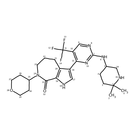 CC1(C)CCC(Nc2ncc(C(F)(F)F)c(-c3c[nH]c4c3CCCN(C3CCOCC3)C4=O)n2)CN1